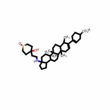 CC1C(C2=CCC(C(=O)O)CC2)=CCC2(C)C1CCC1(C)C2CCC2C3CCCC3(NCCC3(O)CC[S+]([O-])CC3)CC[C@]21C